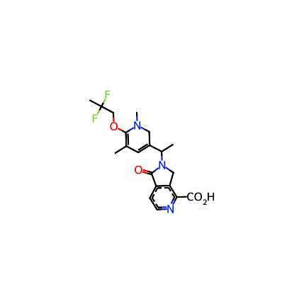 CC1=C(OCC(C)(F)F)N(C)CC(C(C)N2Cc3c(ccnc3C(=O)O)C2=O)=C1